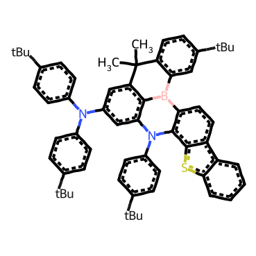 CC(C)(C)c1ccc(N(c2ccc(C(C)(C)C)cc2)c2cc3c4c(c2)C(C)(C)c2ccc(C(C)(C)C)cc2B4c2ccc4c(sc5ccccc54)c2N3c2ccc(C(C)(C)C)cc2)cc1